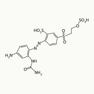 NC(=O)Nc1cc(N)ccc1N=Nc1ccc(S(=O)(=O)CCOS(=O)(=O)O)cc1S(=O)(=O)O